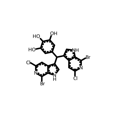 Oc1cc(C(c2c[nH]c3c(Br)nc(Cl)cc23)c2c[nH]c3c(Br)nc(Cl)cc23)cc(O)c1O